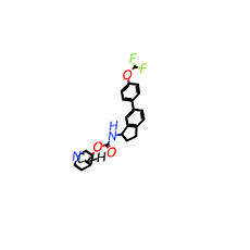 O=C(NC1CCc2ccc(-c3ccc(OC(F)F)cc3)cc21)O[C@H]1CN2CCC1CC2